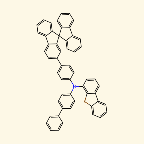 c1ccc(-c2ccc(N(c3ccc(-c4ccc5c(c4)C4(c6ccccc6-c6ccccc64)c4ccccc4-5)cc3)c3cccc4c3sc3ccccc34)cc2)cc1